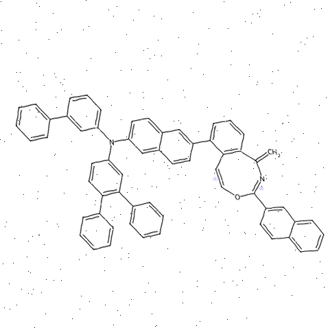 C=C1/N=C(/c2ccc3ccccc3c2)O/C=C\c2c1cccc2-c1ccc2cc(N(c3cccc(-c4ccccc4)c3)c3ccc(-c4ccccc4)c(-c4ccccc4)c3)ccc2c1